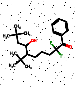 CC(C)(C)CC(O)C(CCCC(F)(F)C(=O)c1ccccc1)C(C)(C)C